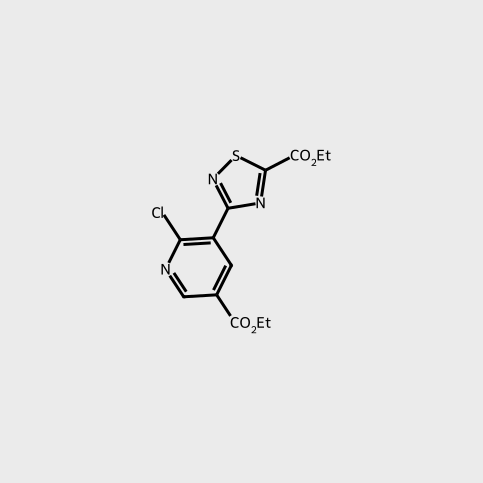 CCOC(=O)c1cnc(Cl)c(-c2nsc(C(=O)OCC)n2)c1